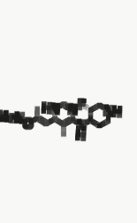 CNO/C(C)=C/C1NC=NC(NC2CCNC[C@H]2F)=C1C